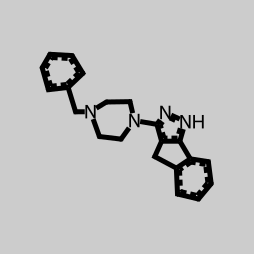 c1ccc(CN2CCN(c3n[nH]c4c3Cc3ccccc3-4)CC2)cc1